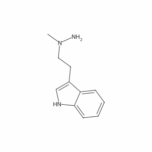 CN(N)CCc1c[nH]c2ccccc12